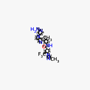 Cc1cn(-c2ccc(C(=O)Nc3ccc(C)c(-c4cc5c(ccn5-c5ccnc(N)c5)cn4)c3)cc2C(F)(F)F)cn1